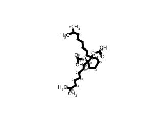 CC(C)CCCCCCC1(OC(=O)O)CCCCC1(CCCCCCC(C)C)OC(=O)O